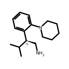 CC(C)[C@H](CN)c1ccccc1N1CCCCC1